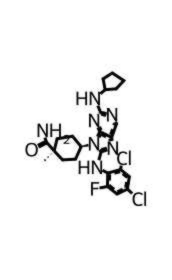 C[C@]1(C(N)=O)CC[C@@H](n2c(Nc3c(F)cc(Cl)cc3Cl)nc3cnc(NC4CCCC4)nc32)CC1